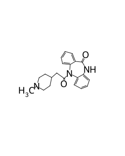 CN1CCC(CC(=O)N2c3ccccc3NC(=O)c3ccccc32)CC1